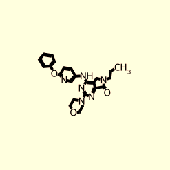 CCCN1Cc2c(Nc3ccc(Oc4ccccc4)nc3)nc(N3CCOCC3)nc2C1=O